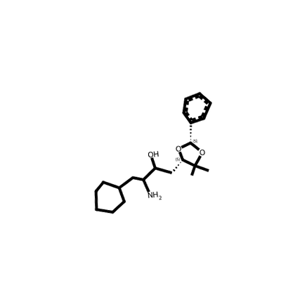 CC1(C)O[C@@H](c2ccccc2)O[C@H]1CC(O)C(N)CC1CCCCC1